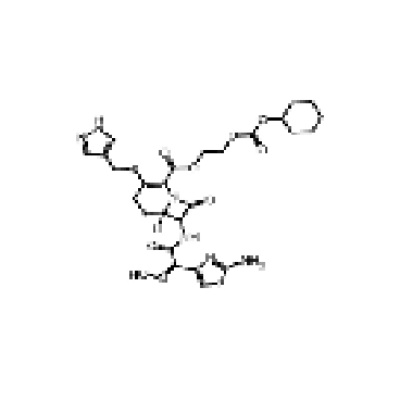 Nc1nc(/C(=N/O)C(=O)N[C@@H]2C(=O)N3C(C(=O)OCCOC(=O)OC4CCCCC4)=C(SCc4cn[nH]c4)CS[C@@H]23)cs1